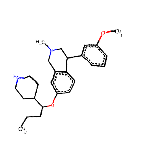 CCCC(Oc1ccc2c(c1)CN(C)CC2c1cccc(OC)c1)C1CCNCC1